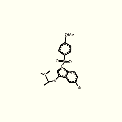 COc1ccc(S(=O)(=O)n2cc(SC(C)N(C)C)c3cc(Br)ccc32)cc1